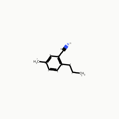 CCCc1ccc(C)cc1C#N